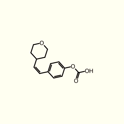 O=C(O)Oc1ccc(/C=C\C2CCOCC2)cc1